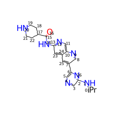 CC(C)Nc1cncc(-c2cnc3cnc(NC(=O)C4CCNCC4)cc3c2)n1